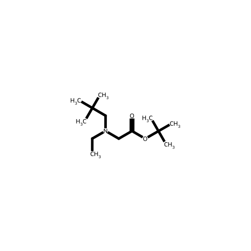 CCN(CC(=O)OC(C)(C)C)CC(C)(C)C